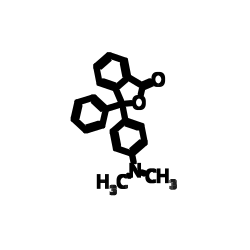 CN(C)c1ccc(C2(c3ccccc3)OC(=O)c3ccccc32)cc1